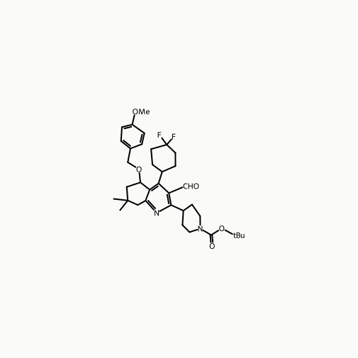 COc1ccc(COC2CC(C)(C)Cc3nc(C4CCN(C(=O)OC(C)(C)C)CC4)c(C=O)c(C4CCC(F)(F)CC4)c32)cc1